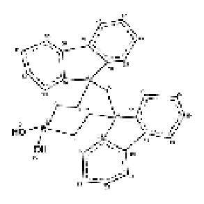 OCCCC1(CC2(CCCO)c3ccccc3-c3ccccc32)c2ccccc2-c2ccccc21